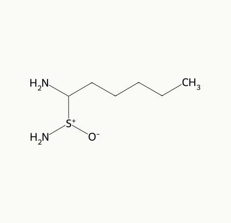 CCCCCC(N)[S+](N)[O-]